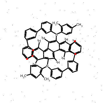 [2H]c1c([2H])c([2H])c2c(c1[2H])c(N(c1cccc(-c3cccc(-c4ccccc4)c3)c1)c1ccc(C)cc1C)c([2H])c1c3c([2H])c([2H])c([2H])c([2H])c3c(N(c3cccc(-c4cccc(-c5ccccc5)c4)c3)c3ccc(C)cc3C)c([2H])c21